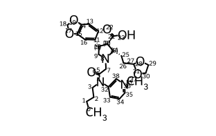 CCCCN(C(=O)CN1C[C@H](c2ccc3c(c2)OCO3)[C@@H](C(=O)O)[C@@H]1CCC1OCCO1)c1ccc[n+](C)c1